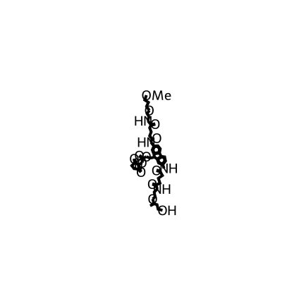 COCCCOCCNC(=O)CCCC(=O)Nc1ccc2c(c1)C(COC(=O)ON1C(=O)CCC1=O)c1cc(NC(=O)CCCC(=O)NCCOC(C)CCO)ccc1-2